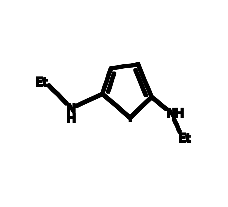 CCNC1=CC=C(NCC)[CH]1